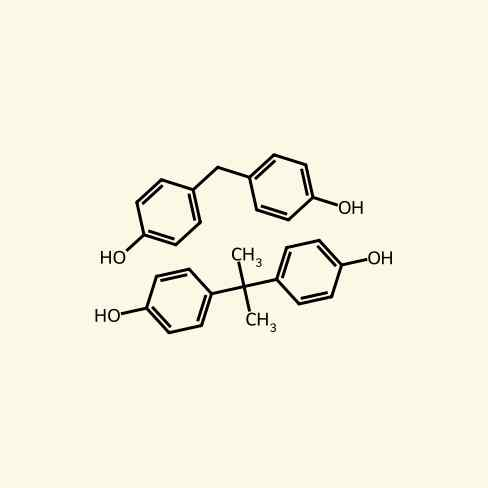 CC(C)(c1ccc(O)cc1)c1ccc(O)cc1.Oc1ccc(Cc2ccc(O)cc2)cc1